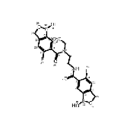 O=C(O)CN(CCNC(=O)c1cc2c(cc1F)COB2O)C(=O)c1cc2c(cc1F)COB2O